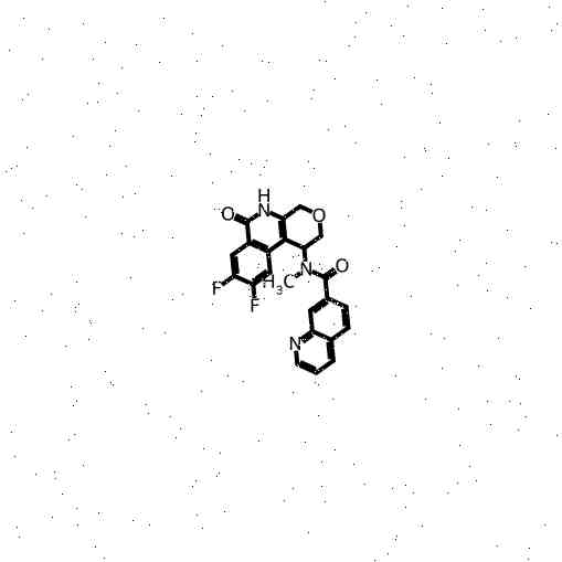 CN(C(=O)c1ccc2cccnc2c1)C1COCc2[nH]c(=O)c3cc(F)c(F)cc3c21